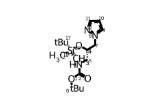 CC(C)(C)OC(=O)NC[C@@H](Cn1cccn1)O[Si](C)(C)C(C)(C)C